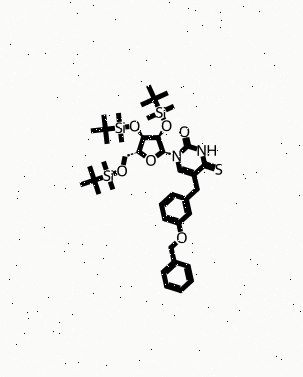 CC(C)(C)[Si](C)(C)OC[C@H]1O[C@@H](n2cc(Cc3cccc(OCc4ccccc4)c3)c(=S)[nH]c2=O)[C@H](O[Si](C)(C)C(C)(C)C)[C@@H]1O[Si](C)(C)C(C)(C)C